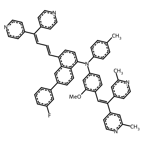 COc1cc(N(c2ccc(C)cc2)c2ccc(/C=C/C=C(c3ccncc3)c3ccncc3)c3cc(-c4cccc(F)c4)ccc23)ccc1C=C(c1ccnc(C)c1)c1ccnc(C)c1